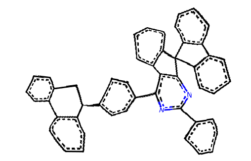 c1ccc(-c2nc(-c3ccc([C@@H]4Cc5ccccc5-c5ccccc54)cc3)c3c(n2)C2(c4ccccc4-c4ccccc42)c2ccccc2-3)cc1